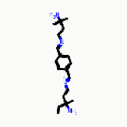 CCC(C)(N)CC/N=C/c1ccc(/C=N/CCC(C)(C)N)cc1